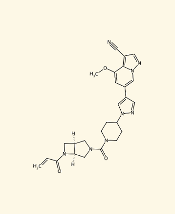 C=CC(=O)N1C[C@H]2CN(C(=O)N3CCC(n4cc(-c5cc(OC)c6c(C#N)cnn6c5)cn4)CC3)C[C@H]21